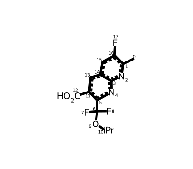 Cc1nc2nc(C(F)(F)OC(C)C)c(C(=O)O)cc2cc1F